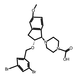 COc1ccc2c(c1)C[C@@H](OCc1cc(Br)cc(Br)c1)[C@@H]2N1CCN(C(=O)O)CC1